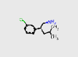 CC(C)C[C@H](CN)c1cccc(Cl)c1